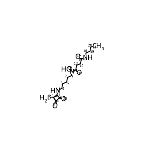 Bc1c(NCCCCCN(O)C(=O)CCC(=O)NCCCC)c(=O)c1=O